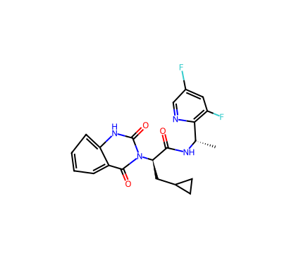 C[C@H](NC(=O)[C@@H](CC1CC1)n1c(=O)[nH]c2ccccc2c1=O)c1ncc(F)cc1F